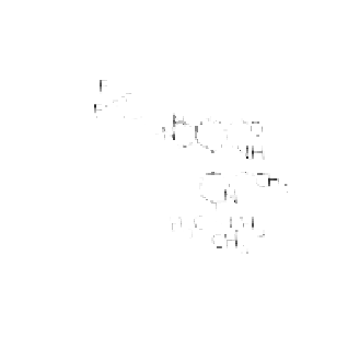 C=C(Nc1cc2cn(CCCC(F)(F)F)nc2cc1C=O)c1cccc(C(C)(C)C)n1